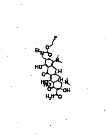 CCN(Cc1cc(N(C)C)c2c(c1O)C(=O)C1=C(O)[C@]3(O)C(=O)C(C(N)=O)=C(O)[C@@H](N(C)C)[C@@H]3C[C@@H]1C2)C(=O)OCCF